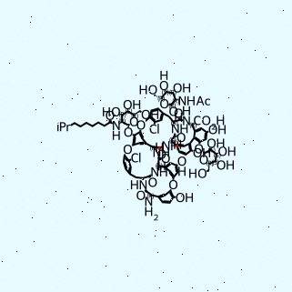 CC(=O)N[C@H]1[C@H](OC2c3ccc(c(Cl)c3)Oc3cc4cc(c3OC3O[C@H](CO)[C@@H](O)[C@H](O)[C@H]3NC(=O)CCCCCCC(C)C)Oc3ccc(cc3Cl)CC3NC(=O)[C@H](N)c5ccc(O)c(c5)Oc5cc(O)cc(c5)[C@H](NC3=O)C(=O)N[C@H]4C(=O)N[C@H]3C(=O)N[C@@H]2C(=O)N[C@@H](C(=O)O)c2cc(O)cc(OC4O[C@H](CO)[C@@H](O)[C@H](O)[C@@H]4O)c2-c2cc3ccc2O)O[C@H](CO)[C@@H](O)[C@@H]1O